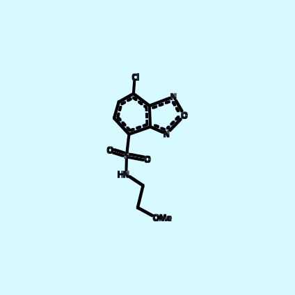 COCCNS(=O)(=O)c1ccc(Cl)c2nonc12